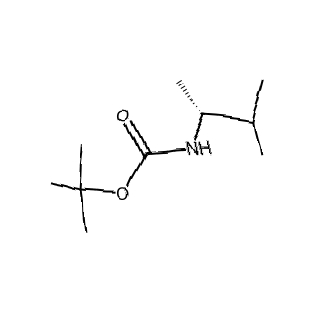 CC(C)[C@@H](C)NC(=O)OC(C)(C)C